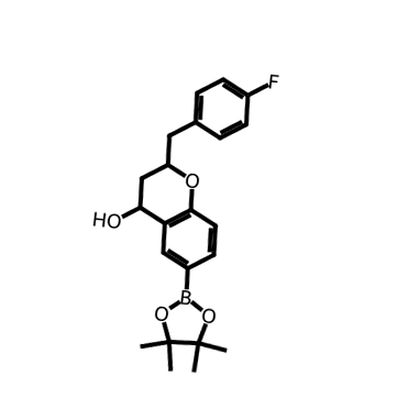 CC1(C)OB(c2ccc3c(c2)C(O)CC(Cc2ccc(F)cc2)O3)OC1(C)C